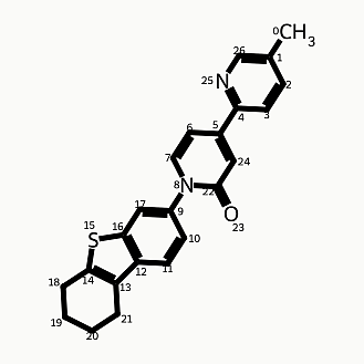 Cc1ccc(-c2ccn(-c3ccc4c5c(sc4c3)CCCC5)c(=O)c2)nc1